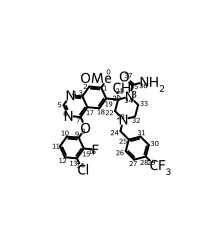 COc1cc2ncnc(Oc3cccc(Cl)c3F)c2cc1[C@]1(C)CN(Cc2ccc(C(F)(F)F)cc2)CCN1C(N)=O